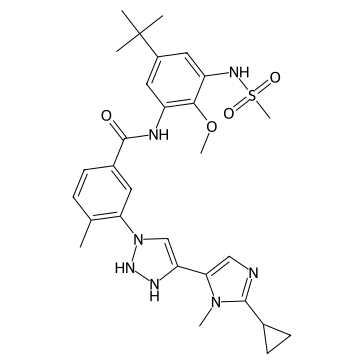 COc1c(NC(=O)c2ccc(C)c(N3C=C(c4cnc(C5CC5)n4C)NN3)c2)cc(C(C)(C)C)cc1NS(C)(=O)=O